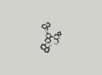 CCc1cccc2cccc(N3CCc4c(nc(OCC56CCCN5CCC6)nc4N4CC(CO)OC5(CCC5)C4)C3)c12